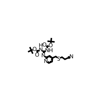 CC(C)(C)OC(=O)NC(=Nc1cc(CSCCC#N)ccn1)NC(=O)OC(C)(C)C